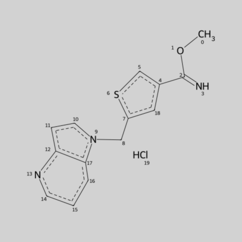 COC(=N)c1csc(Cn2ccc3ncccc32)c1.Cl